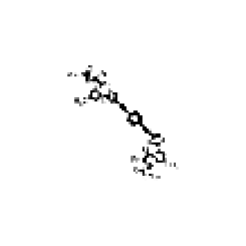 COC(=O)N[C@@H](C(=O)N1C[C@@H](C)C[C@H]1c1ncc(C#Cc2ccc(C#Cc3cnc([C@@H]4C[C@H](C)CN4C(=O)[C@H](NC(=O)OC)C(C)C)[nH]3)cc2)[nH]1)C(C)C